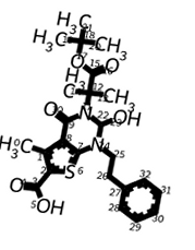 Cc1c(C(=O)O)sc2c1C(=O)N(C(C)(C)C(=O)OC(C)(C)C)C(O)N2CCc1ccccc1